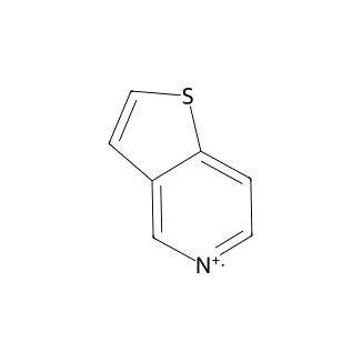 C1=[N+]C=c2ccsc2=C1